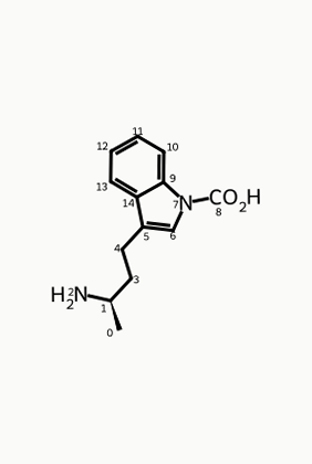 C[C@@H](N)CCc1cn(C(=O)O)c2ccccc12